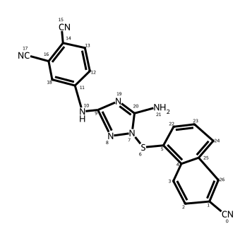 N#Cc1ccc2c(Sn3nc(Nc4ccc(C#N)c(C#N)c4)nc3N)cccc2c1